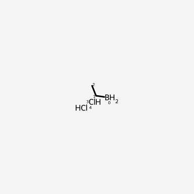 BCC.Cl.Cl